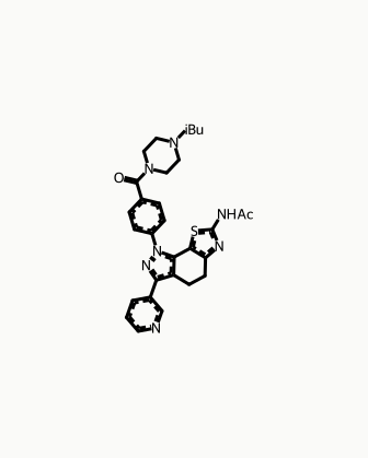 CCC(C)N1CCN(C(=O)c2ccc(-n3nc(-c4cccnc4)c4c3-c3sc(NC(C)=O)nc3CC4)cc2)CC1